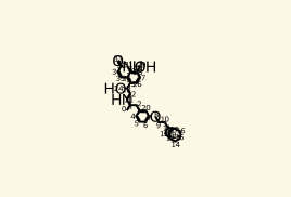 CC(Cc1cccc(OCCC23CC4CC(CC2C4)C3)c1)NC[C@H](O)c1ccc(O)c2[nH]c(=O)ccc12